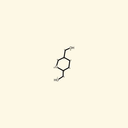 OCC1CCC(CO)OC1